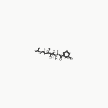 CC(C)SCC[C@@H](N)C(O)C(=O)NNC(=O)c1cccc(Br)c1